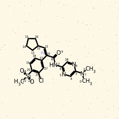 CN(C)c1cnc(NC(=O)/C(=C/C2CCCC2)c2ccc(S(C)(=O)=O)c(Cl)c2)cn1